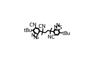 CC(C)(C)c1c(C#N)c(C#N)c(C(C)(C)CCC(C)(C)c2c(C#N)cc(C(C)(C)C)c3snnc23)c2snnc12